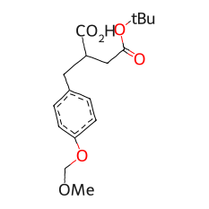 COCOc1ccc(CC(CC(=O)OC(C)(C)C)C(=O)O)cc1